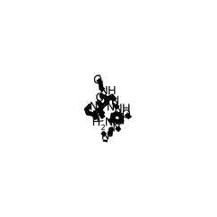 COCCNC(=O)c1cnc(Nc2cc(N)c(N(C)CCN(C)C)cc2OC)nc1-c1cn2c3c(cccc13)CCC2